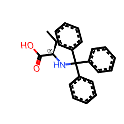 CC[C@@H](NC(c1ccccc1)(c1ccccc1)c1ccccc1)C(=O)O